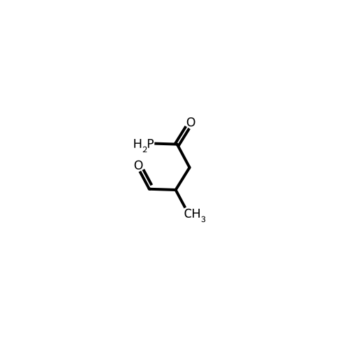 CC(C=O)CC(=O)P